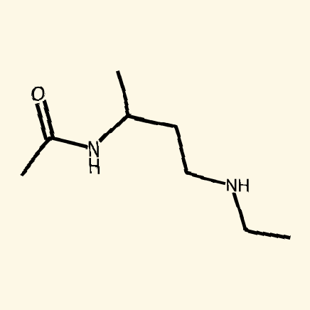 CCNCCC(C)NC(C)=O